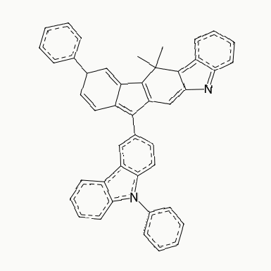 CC1(C)C2=C(C=C3N=c4ccccc4=C31)C(c1ccc3c(c1)c1ccccc1n3-c1ccccc1)=C1C=CC(c3ccccc3)C=C12